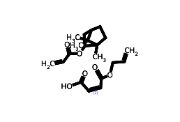 C=CC(=O)OC1CC2CCC1(C)C2(C)C.C=CCOC(=O)/C=C\C(=O)O